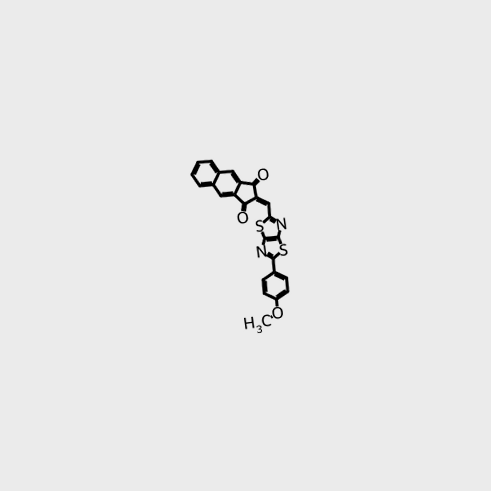 COc1ccc(-c2nc3sc(C=C4C(=O)c5cc6ccccc6cc5C4=O)nc3s2)cc1